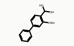 COc1cc(-c2ccccc2)ccc1C(O)O